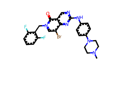 CN1CCN(c2ccc(Nc3ncc4c(=O)n(Cc5c(F)cccc5F)cc(Br)c4n3)cc2)CC1